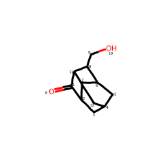 O=C1C2CC3CC(C2)C(CO)C1C3